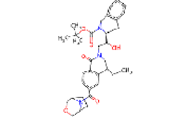 CCC1CN(CC(O)[C@@H]2Cc3ccccc3CN2C(=O)OC(C)(C)C)C(=O)c2ccc(C(=O)N3C4CCC3COC4)cc21